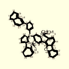 C[Si]1(C)c2cc(N(c3cccc(-c4ccc5ccccc5c4)c3)c3cccc4c3[Si](C)(C)c3ccccc3-4)ccc2-c2c1ccc1c2oc2ccccc21